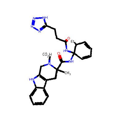 CCC1C=CC=CC1(NC(=O)CCc1nnn[nH]1)NC(=O)C1(C)Cc2c([nH]c3ccccc23)CN1C(=O)O